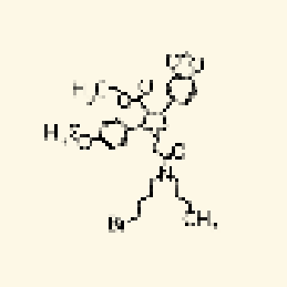 CCCCN(CCCCBr)C(=O)CN1CC(c2ccc3c(c2)OCO3)C(C(=O)OCC)C1c1ccc(OC)cc1